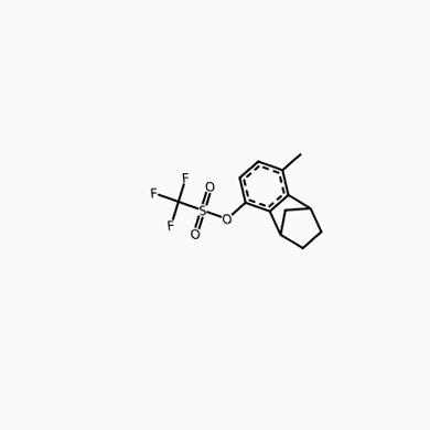 Cc1ccc(OS(=O)(=O)C(F)(F)F)c2c1C1CCC2C1